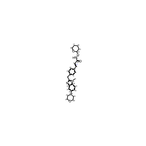 Cn1c(Cc2ccc(/C=C/C(=O)NOC3CCCCO3)cc2)nc2cc(N3CCOCC3)ccc21